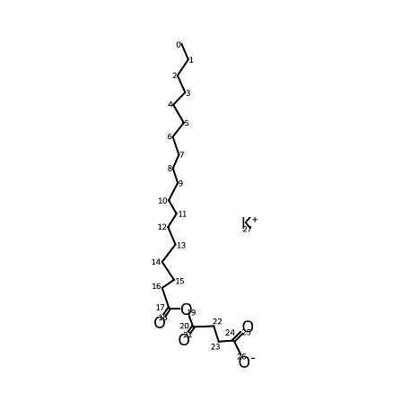 CCCCCCCCCCCCCCCCCC(=O)OC(=O)CCC(=O)[O-].[K+]